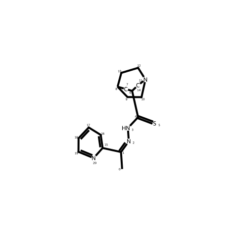 CC(=NNC(=S)C1CC2CCN(CC2)C1)c1ccccn1